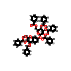 O=C(OC[C@H]1O[C@@H](Oc2ccc3c(OCc4ccccc4)c(OC(=O)c4ccccc4)c(=O)oc3c2)[C@H](OC(=O)c2ccccc2)[C@@H](OC(=O)c2ccccc2)[C@@H]1OC(=O)c1ccccc1)c1ccccc1